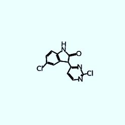 O=C1Nc2ccc(Cl)cc2C1c1ccnc(Cl)n1